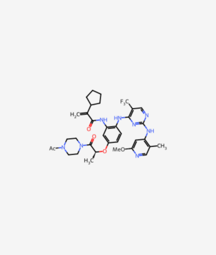 C=C(C(=O)Nc1cc(O[C@@H](C)C(=O)N2CCN(C(C)=O)CC2)ccc1Nc1nc(Nc2cc(OC)ncc2C)ncc1C(F)(F)F)C1CCCC1